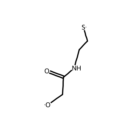 [O]CC(=O)NCC[S]